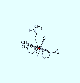 CNCCN1C(=O)C2(NC1=S)c1cc(C3CC3)ccc1CC21CCC(OC)CC1